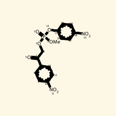 COP(=O)(OCC(=O)c1ccc([N+](=O)[O-])cc1)Oc1ccc([N+](=O)[O-])cc1